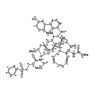 C=C(c1nccc(-c2cc(O)ccc2NC)c1C)C1CC(OC2CC(OC)C(N(C(=O)OCCS(=O)(=O)c3ccccc3)C(C)OC)CO2)C(O[C@H]2C#C/C=C\C#CC3=C(NC(=O)OC)C(=O)C[C@H](O)/C(=C/CS(C)=S)C32)OC1C